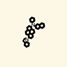 c1ccc(N(c2ccc3ccccc3c2)c2ccc3ccc4c(N5CCc6ccccc65)ccc5ccc2c3c54)cc1